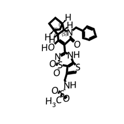 CS(=O)(=O)NCc1csc2c1S(=O)(=O)N=C(C1=C(O)[C@@H]3[C@@H]4CC[C@@H](C4)[C@@H]3N(Cc3ccccc3)C1=O)N2